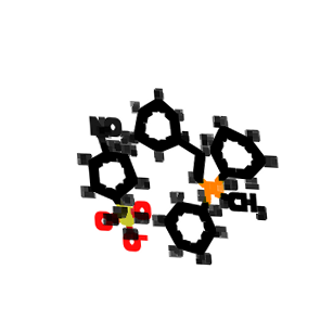 C[P+](/C=C/c1ccccc1)(c1ccccc1)c1ccccc1.O=[N+]([O-])c1ccc(S(=O)(=O)[O-])cc1